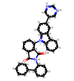 O=C1c2cccc(-n3c4ccccc4c4cc(-c5cncnc5)ccc43)c2C(=O)N1c1ccccc1-c1ccccc1